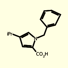 CC(C)c1cc(C(=O)O)n(Cc2ccccc2)c1